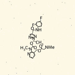 CNCC(=O)OCc1cccnc1N(C)C(=O)OC(C)n1ncc(C(=O)Nc2ccc(F)cc2F)n1